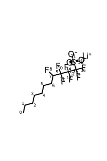 CCCCCCCC(F)C(F)(F)C(F)(F)C(F)(F)S(=O)(=O)[O-].[Li+]